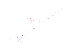 CCCCCCCCCCCCCCCCCC[N+](C)(C)C.O=P([O-])(O)O